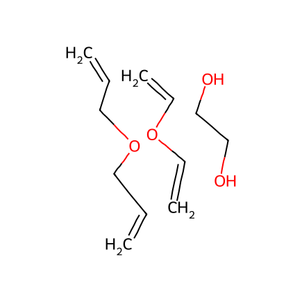 C=CCOCC=C.C=COC=C.OCCO